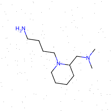 CN(C)CC1CCCCN1CCCCN